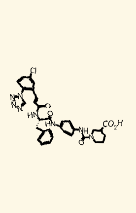 O=C(C=Cc1cc(Cl)ccc1-n1cnnn1)N[C@@H](Cc1ccccc1)C(=O)Nc1ccc(NC(=O)N2CCCC(C(=O)O)C2)cc1